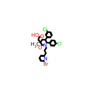 CC1(CC(=O)O)CC(c2cccc(Cl)c2)C(c2ccc(Cl)cc2)N(CCCc2cccc(Br)n2)C1=O